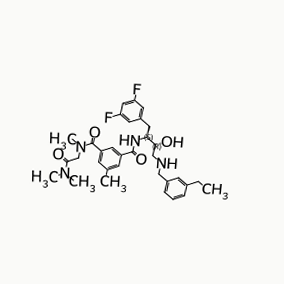 CCc1cccc(CNC[C@@H](O)[C@H](Cc2cc(F)cc(F)c2)NC(=O)c2cc(C)cc(C(=O)N(C)CC(=O)N(C)C)c2)c1